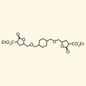 CCOC(=O)C1CC(COCC2CCC(COCC3CC(C(=O)OCC)C(=O)O3)CC2)OC1=O